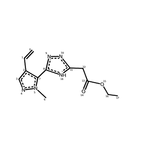 C=Cc1cnn(C)c1-c1nnc(CC(=O)OCC)[nH]1